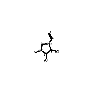 C=CN1CN(C)C(Cl)C1Cl